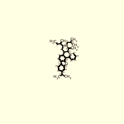 C=CC(=C)CCC1c2ccc3c(oc4cc(C(C)C)ccc43)c2-c2cccc[n+]2C1C(=C)NCC(C)C